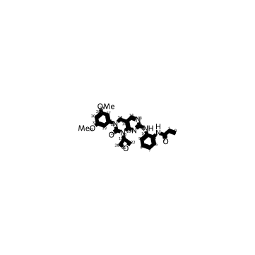 C=CC(=O)Nc1ccccc1Nc1ncc2c(n1)N(C1COC1)C(=O)N(c1cc(OC)cc(OC)c1)C2